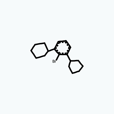 Brc1c(C2CCCCC2)cccc1C1CCCCC1